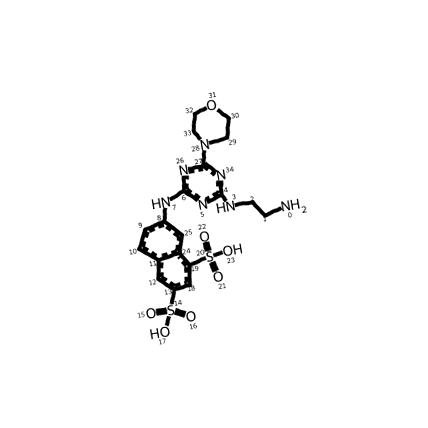 NCCNc1nc(Nc2ccc3cc(S(=O)(=O)O)cc(S(=O)(=O)O)c3c2)nc(N2CCOCC2)n1